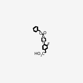 O=C(O)Cc1ccc(N2CCN(C(=O)OCc3ccccc3)CC2)c(F)c1